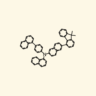 CC1(C)c2ccccc2-c2c(-c3ccc4cc(N(c5ccc(-c6cccc7ccccc67)cc5)c5cccc6ccccc56)ccc4c3)cccc21